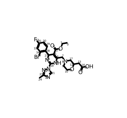 CCOC(=O)C1=C(CN2CCOC(CC(=O)O)C2)NC(n2cnc(C)n2)=NC1c1ccc(F)cc1Br